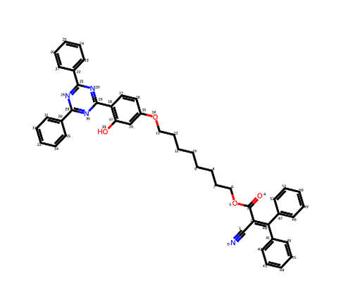 N#CC(C(=O)OCCCCCCCCOc1ccc(-c2nc(-c3ccccc3)nc(-c3ccccc3)n2)c(O)c1)=C(c1ccccc1)c1ccccc1